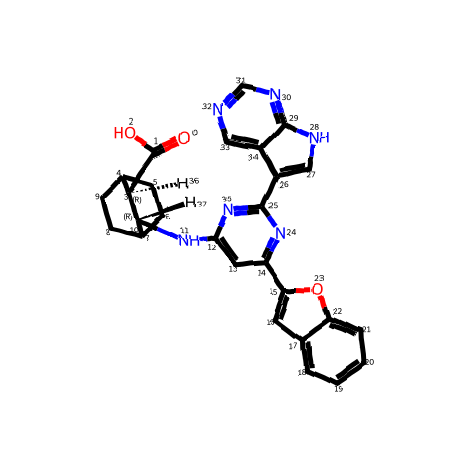 O=C(O)[C@@H]1C2CCC(CC2)[C@H]1Nc1cc(-c2cc3ccccc3o2)nc(-c2c[nH]c3ncncc23)n1